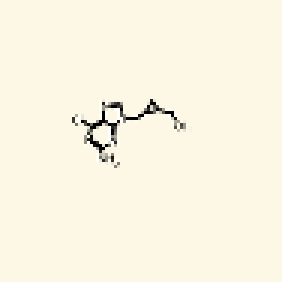 Nc1nc(Cl)c2ncn(CC3CC3CO)c2n1